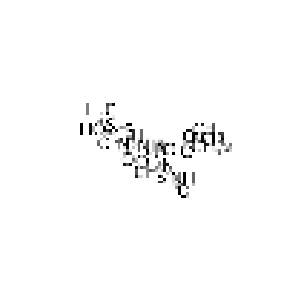 CCSC1(C(=O)O)CS[C@@H]2C(NC(=O)C(=NOCC(=O)OC(C)(C)C)c3nc(NC=O)sc3Cl)C(=O)N2C1